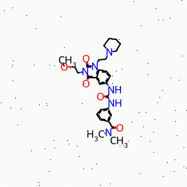 COCCn1c(=O)c2cc(NC(=O)Nc3cccc(C(=O)N(C)C)c3)ccc2n(CCN2CCCCC2)c1=O